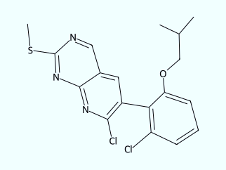 CSc1ncc2cc(-c3c(Cl)cccc3OCC(C)C)c(Cl)nc2n1